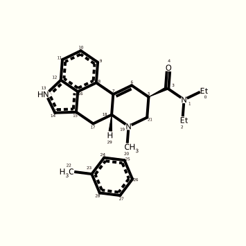 CCN(CC)C(=O)[C@@H]1C=C2c3cccc4[nH]cc(c34)C[C@H]2N(C)C1.Cc1ccccc1